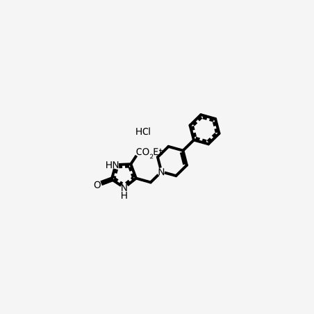 CCOC(=O)c1[nH]c(=O)[nH]c1CN1CC=C(c2ccccc2)CC1.Cl